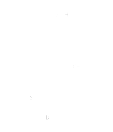 CC(=CCCC(=O)O)c1csc(Br)c1